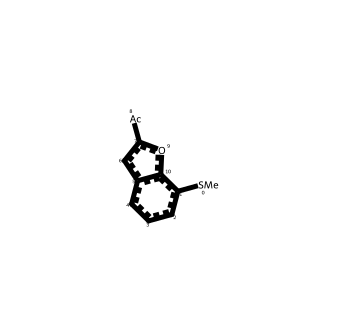 CSc1cccc2cc(C(C)=O)oc12